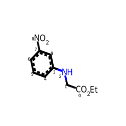 CCOC(=O)CNc1cccc([N+](=O)[O-])c1